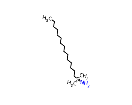 CCCCCCCCCCCCCCC[Si](C)(C)N